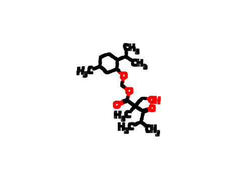 CC1CCC(C(C)C)C(OCOC(=O)C(C)(CO)C(=O)C(C)C)C1